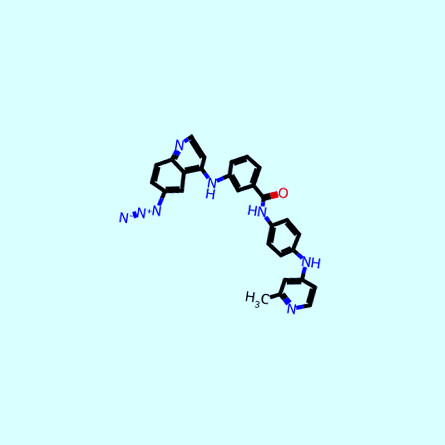 Cc1cc(Nc2ccc(NC(=O)c3cccc(Nc4ccnc5ccc(N=[N+]=[N-])cc45)c3)cc2)ccn1